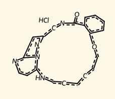 Cl.O=c1ncc2cc3nccc([nH]ccccccoc4ccccc14)n3n2